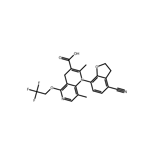 CC1=C(C(=O)O)Cc2c(OCC(F)(F)F)ncc(C)c2N1c1ccc(C#N)c2c1OCC2